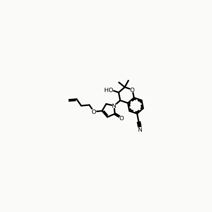 C=CCCOC1=CC(=O)N(C2c3cc(C#N)ccc3OC(C)(C)C2O)C1